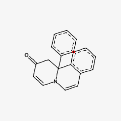 O=C1C=CN2C=Cc3ccccc3C2(c2ccccc2)C1